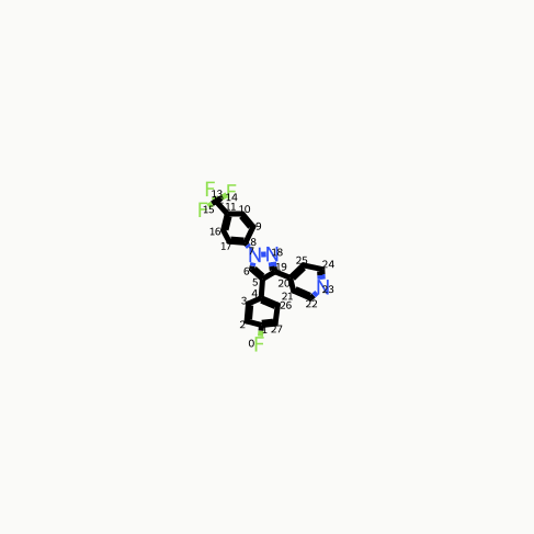 Fc1ccc(-c2cn(-c3ccc(C(F)(F)F)cc3)nc2-c2ccncc2)cc1